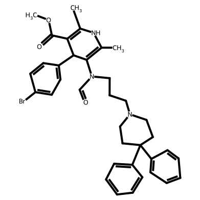 COC(=O)C1=C(C)NC(C)=C(N(C=O)CCCN2CCC(c3ccccc3)(c3ccccc3)CC2)C1c1ccc(Br)cc1